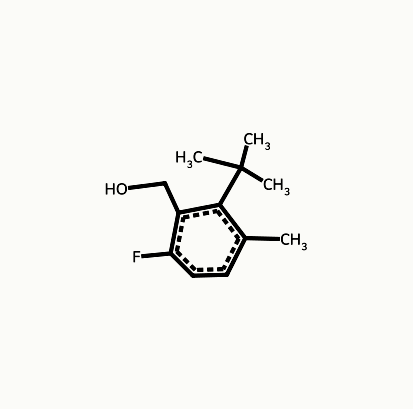 Cc1ccc(F)c(CO)c1C(C)(C)C